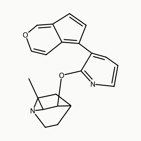 CC1C(Oc2ncccc2-c2ccc3coccc2-3)C2CCN1CC2